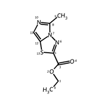 CCOC(=O)c1nn2c(C)ncc2s1